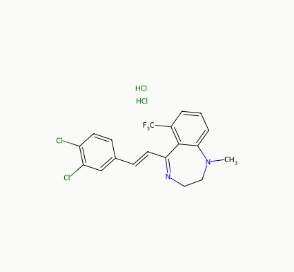 CN1CCN=C(C=Cc2ccc(Cl)c(Cl)c2)c2c1cccc2C(F)(F)F.Cl.Cl